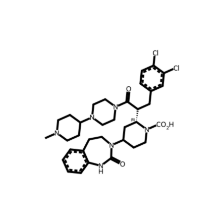 CN1CCC(N2CCN(C(=O)C(Cc3ccc(Cl)c(Cl)c3)[C@H]3CC(N4CCc5ccccc5NC4=O)CCN3C(=O)O)CC2)CC1